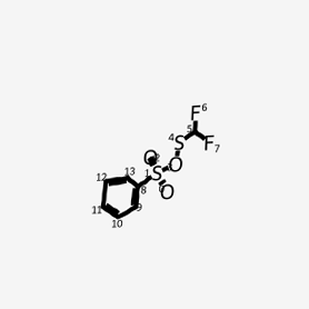 O=S(=O)(OSC(F)F)c1ccccc1